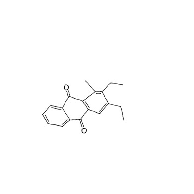 CCc1cc2c(c(C)c1CC)C(=O)c1ccccc1C2=O